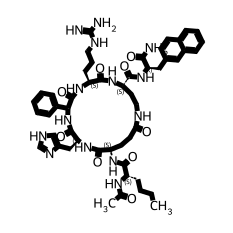 CCCC[C@H](NC(C)=O)C(=O)N[C@H]1CCC(=O)NCC[C@@H](C(=O)N[C@H](Cc2ccc3ccccc3c2)C(N)=O)NC(=O)[C@H](CCCNC(=N)N)NC(=O)C(c2ccccc2)NC(=O)[C@H](Cc2c[nH]cn2)NC1=O